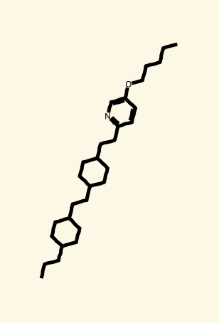 CCCCCOc1ccc(CCC2CCC(CCC3CCC(CCC)CC3)CC2)nc1